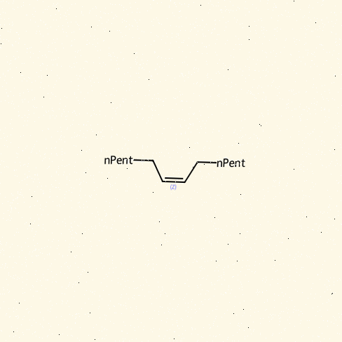 [CH2]CCCCC/C=C\CCCCCC